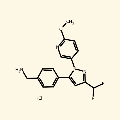 COc1ccc(-n2nc(C(F)F)cc2-c2ccc(CN)cc2)cn1.Cl